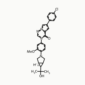 COc1cc(-n2cnn3cc(-c4ccc(Cl)cc4)cc3c2=O)ccc1N1CC2C(C(C)(C)O)[C@H]2C1